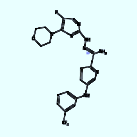 N/C(=N\Nc1ncc(F)c(N2CCOCC2)n1)c1ccc(Nc2cccc(C(F)(F)F)c2)cn1